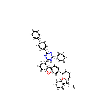 Cc1c(/C=C\C=C\c2ccc3c(c2)oc2cccc(-c4nc(-c5ccccc5)nc(-c5ccc(-c6ccccc6)cc5)n4)c23)oc2ccccc12